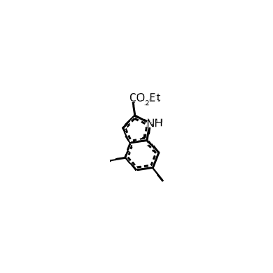 CCOC(=O)c1cc2c(C)cc(C)cc2[nH]1